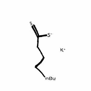 CCCCCCCC(=S)[S-].[K+]